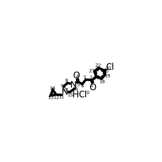 Cl.O=C(CCC(=O)N1CCN(CC2CC2)CC1)c1ccc(Cl)cc1